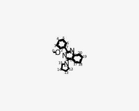 COc1ccccc1-c1nc(N2CCCC2)c2ccccc2n1